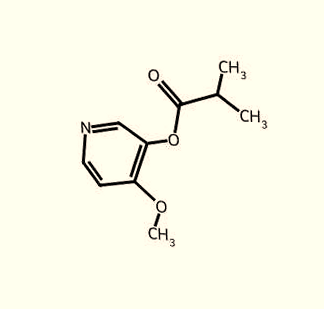 COc1ccncc1OC(=O)C(C)C